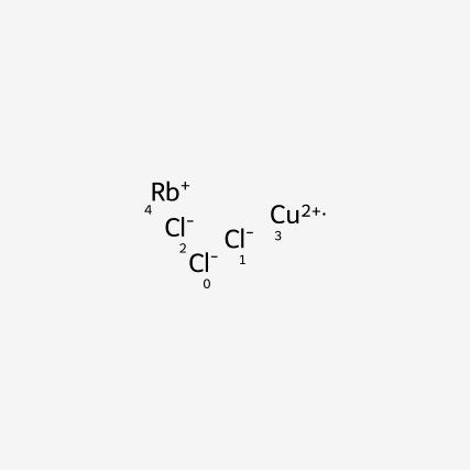 [Cl-].[Cl-].[Cl-].[Cu+2].[Rb+]